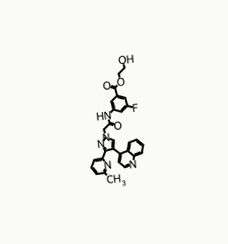 Cc1cccc(-c2nn(CC(=O)Nc3cc(F)cc(C(=O)OCCO)c3)cc2-c2ccnc3ccccc23)n1